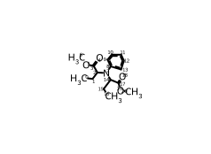 CCC(C(=O)OC)N(c1ccccc1)C(CC)C(=O)OC